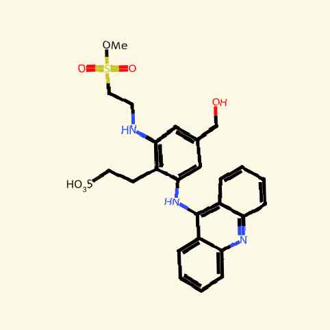 COS(=O)(=O)CCNc1cc(CO)cc(Nc2c3ccccc3nc3ccccc23)c1CCS(=O)(=O)O